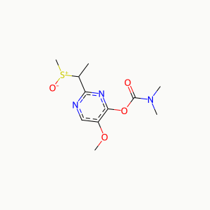 COc1cnc(C(C)[S+](C)[O-])nc1OC(=O)N(C)C